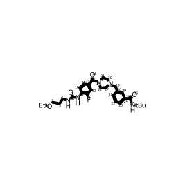 CCOCCCNC(=O)Nc1ccc(C(=O)N2CCN(Cc3cccc(C(=O)NC(C)(C)C)c3)CC2)cc1F